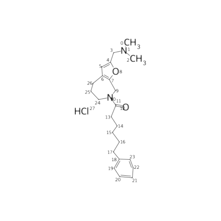 CN(C)Cc1cc2c(o1)CN(C(=O)CCCCCc1ccccc1)CCC2.Cl